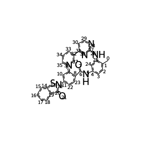 Cc1ccc(NC(=O)c2ccc(-n3sc4ccccc4c3=O)cc2)cc1Nc1nccc(-c2cccnc2)n1